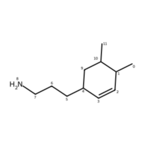 CC1C=CC(CCCN)CC1C